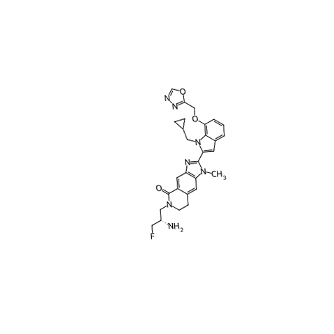 Cn1c(-c2cc3cccc(OCc4nnco4)c3n2CC2CC2)nc2cc3c(cc21)CCN(C[C@H](N)CF)C3=O